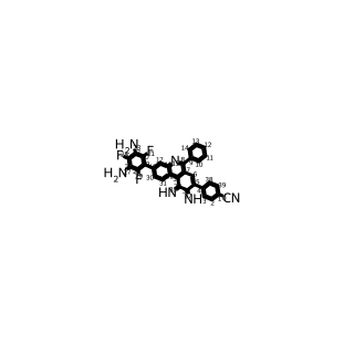 N#Cc1ccc(C2=Cc3c(-c4ccccc4)nc4cc(-c5c(F)c(N)c(F)c(N)c5F)ccc4c3C(=N)C2=N)cc1